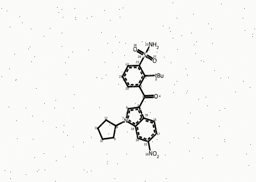 CC(C)(C)c1c(C(=O)c2cn(C3CCCC3)c3cc([N+](=O)[O-])ccc23)cccc1S(N)(=O)=O